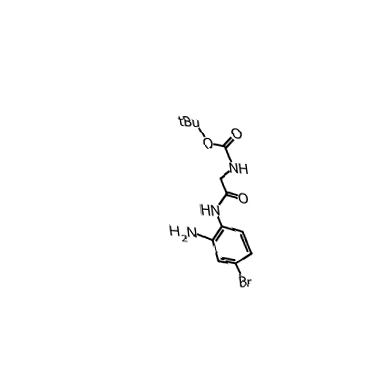 CC(C)(C)OC(=O)NCC(=O)Nc1ccc(Br)cc1N